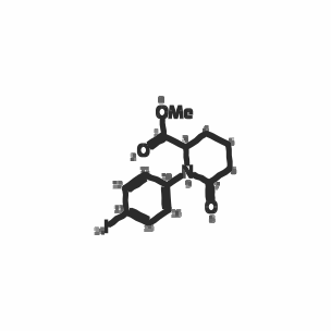 COC(=O)C1CCCC(=O)N1c1ccc(I)cc1